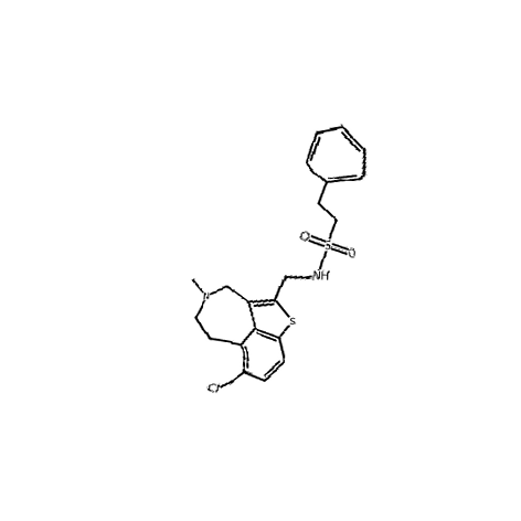 CN1CCc2c(Cl)ccc3sc(CNS(=O)(=O)CCc4ccccc4)c(c23)C1